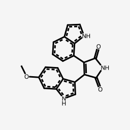 COc1ccc2c(C3=C(c4cccc5cc[nH]c45)C(=O)NC3=O)c[nH]c2c1